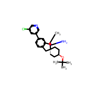 BC(B)(B)O[C@H]1CC[C@]2(CC1)Cc1ccc(-c3cncc(Cl)c3)cc1C21N=C(C)C(N)=N1